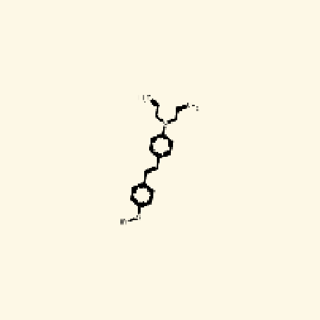 C=CCN(CC=C)c1ccc(C=Cc2ccc(OC(C)C)cc2)cc1